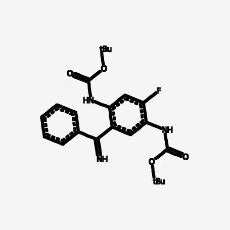 CC(C)(C)OC(=O)Nc1cc(C(=N)c2ccccc2)c(NC(=O)OC(C)(C)C)cc1F